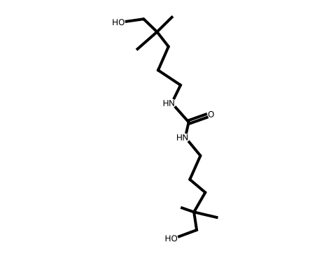 CC(C)(CO)CCCNC(=O)NCCCC(C)(C)CO